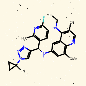 COc1cc(N[C@H](c2cn(C3(C#N)CC3)nn2)c2ccc(F)nc2C)cc2c(NCC(C)(C)C)c(C#N)cnc12